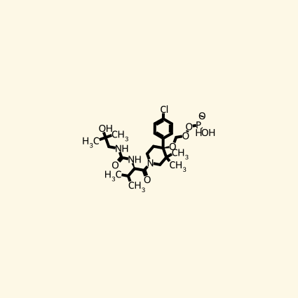 CC(C)[C@@H](NC(=O)NCC(C)(C)O)C(=O)N1CC[C@](OCOO[PH](=O)O)(c2ccc(Cl)cc2)C(C)(C)C1